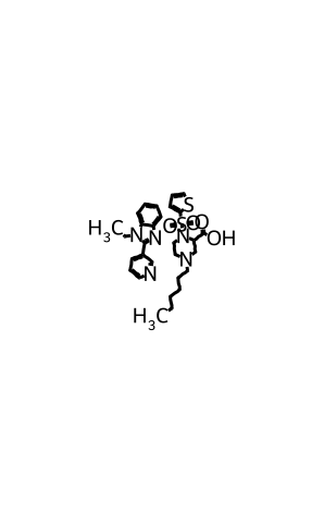 CCCCCCN1CCN(S(=O)(=O)c2cccs2)C(C(=O)O)C1.CCn1c(-c2cccnc2)nc2ccccc21